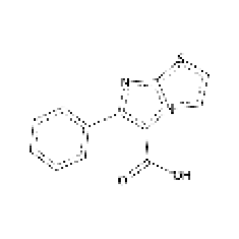 O=C(O)c1c(-c2ccccc2)nc2sccn12